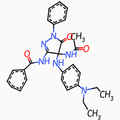 CCN(CC)c1ccc(NC2(NC(C)=O)C(=O)N(c3ccccc3)N=C2NC(=O)c2ccccc2)cc1